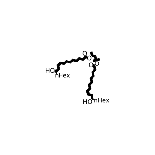 CCCCCC[C@H](O)C/C=C\CCCCCCCC(=O)OC(C)(C)CC(C)OC(=O)CCCCCCC/C=C\C[C@H](O)CCCCCC